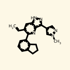 C=Cc1cc2[nH]nc(-c3cnn(C)c3)c2nc1-c1cccc2c1CCC2